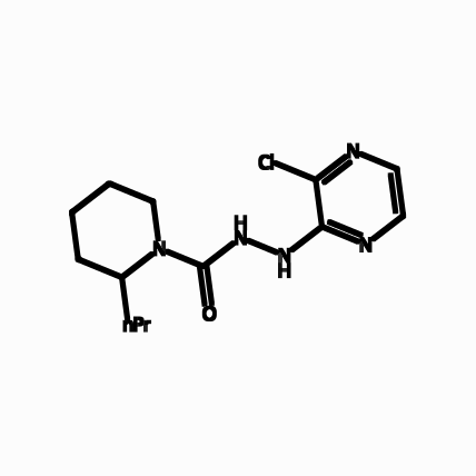 CCCC1CCCCN1C(=O)NNc1nccnc1Cl